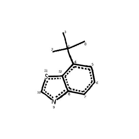 CC(C)(C)c1cccc2ncsc12